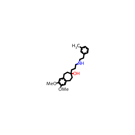 COc1cc2c(cc1OC)CCC(O)(CCCNCCc1cccc(C)c1)CC2